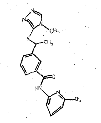 CC(Sc1nncn1C)c1cccc(C(=O)Nc2cccc(C(F)(F)F)n2)c1